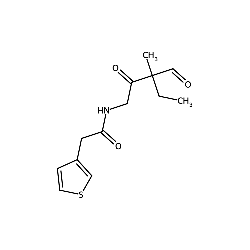 CCC(C)(C=O)C(=O)CNC(=O)Cc1ccsc1